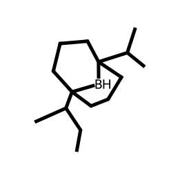 CCC(C)C12BC(C(C)C)(CCC1)CCC2